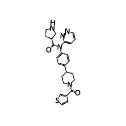 O=C(c1ccsc1)N1CCC(c2ccc(N(C(=O)[C@H]3CCNC3)c3cccnn3)cc2)CC1